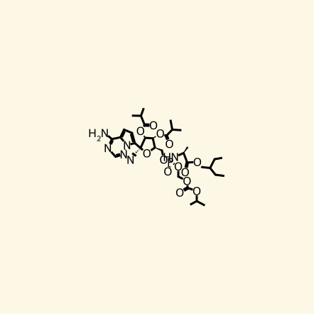 CCC(CC)COC(=O)[C@H](C)NP(=O)(OCOC(=O)OC(C)C)OC[C@H]1O[C@@](C#N)(c2ccc3c(N)ncnn23)[C@H](OC(=O)C(C)C)[C@@H]1OC(=O)C(C)C